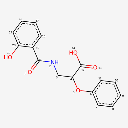 O=C(NCC(Oc1ccccc1)C(=O)O)c1ccccc1O